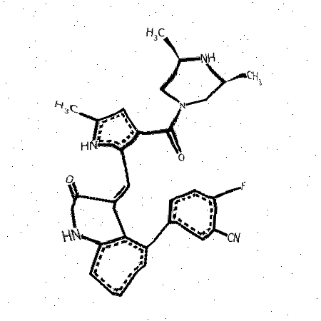 Cc1cc(C(=O)N2C[C@@H](C)N[C@@H](C)C2)c(/C=C2\C(=O)Nc3cccc(-c4ccc(F)c(C#N)c4)c32)[nH]1